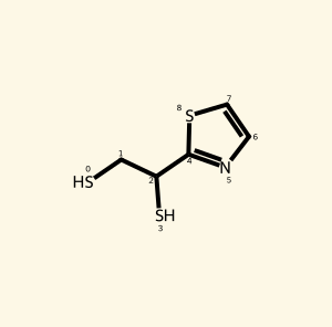 SCC(S)c1nccs1